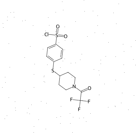 O=C(N1CCC(Sc2ccc(S(=O)(=O)Cl)cc2)CC1)C(F)(F)F